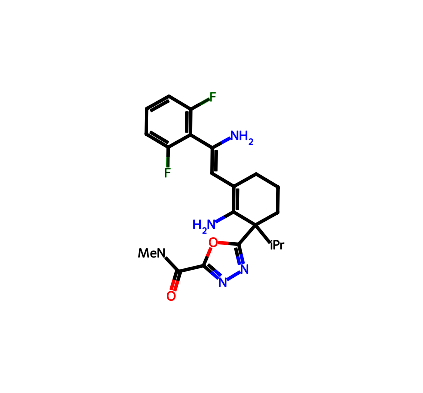 CNC(=O)c1nnc(C2(C(C)C)CCCC(/C=C(\N)c3c(F)cccc3F)=C2N)o1